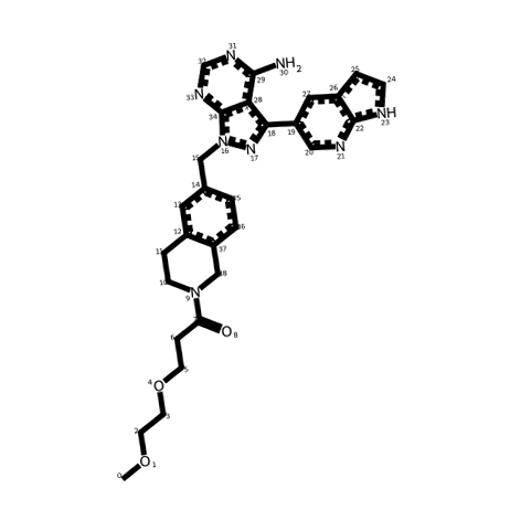 COCCOCCC(=O)N1CCc2cc(Cn3nc(-c4cnc5[nH]ccc5c4)c4c(N)ncnc43)ccc2C1